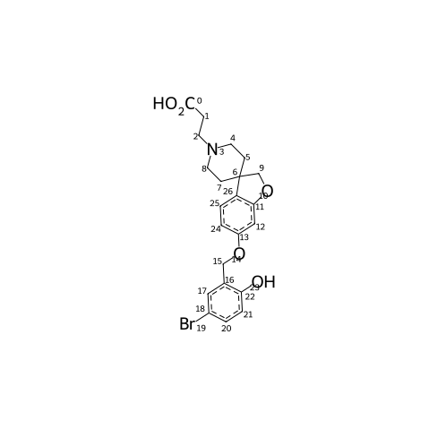 O=C(O)CCN1CCC2(CC1)COc1cc(OCc3cc(Br)ccc3O)ccc12